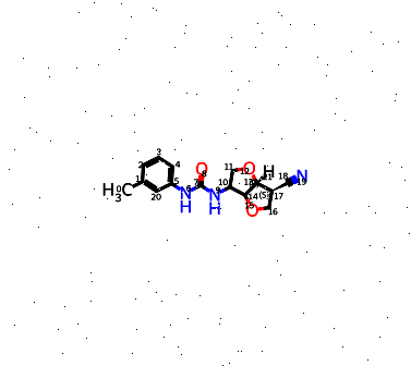 Cc1cccc(NC(=O)NC2CO[C@H]3C2OC[C@@H]3C#N)c1